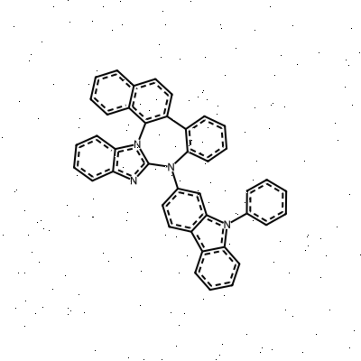 c1ccc(-n2c3ccccc3c3ccc(N4c5ccccc5-c5ccc6ccccc6c5-n5c4nc4ccccc45)cc32)cc1